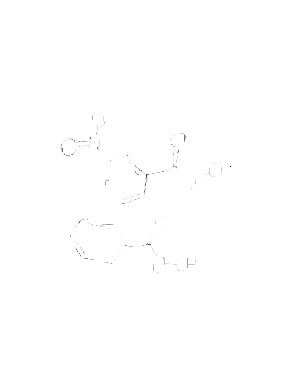 COC(=O)c1cccc([N+](=O)[O-])c1.COC(=O)c1ccccc1